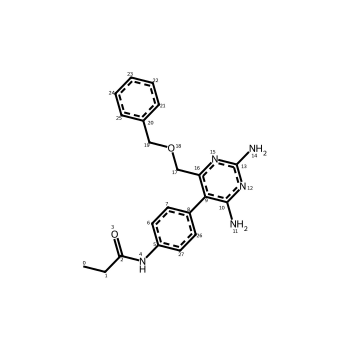 CCC(=O)Nc1ccc(-c2c(N)nc(N)nc2COCc2ccccc2)cc1